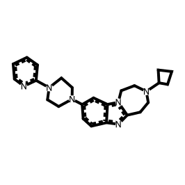 c1ccc(N2CCN(c3ccc4nc5n(c4c3)CCN(C3CCC3)CC5)CC2)nc1